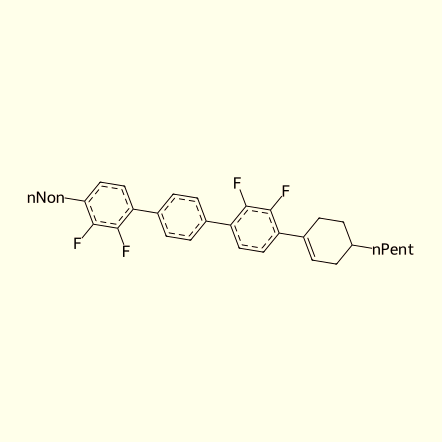 CCCCCCCCCc1ccc(-c2ccc(-c3ccc(C4=CCC(CCCCC)CC4)c(F)c3F)cc2)c(F)c1F